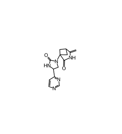 C=C1NC(=O)C2(N3CC(c4ccncn4)NC3=O)CC1C2